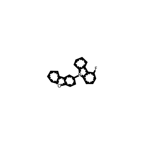 Fc1cccc2c1c1ccccc1n2-c1ccc2oc3ccccc3c2c1